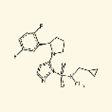 CN(CC1CC1)S(=O)(=O)n1nccc1N1CCC[C@@H]1c1cc(F)ccc1F